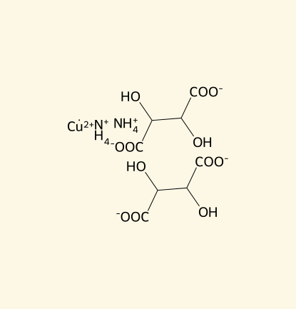 O=C([O-])C(O)C(O)C(=O)[O-].O=C([O-])C(O)C(O)C(=O)[O-].[Cu+2].[NH4+].[NH4+]